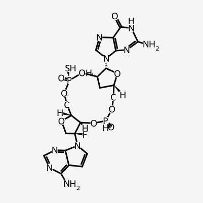 Nc1nc2c(ncn2[C@@H]2O[C@@H]3CO[PH](=O)O[C@@H]4[C@@H](CO[P@@](=O)(S)O[C@@H]2C3)OC[C@@]4(F)n2ccc3c(N)ncnc32)c(=O)[nH]1